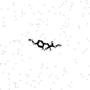 CC(C)(C)OC(=O)[C@](C)(N)Cc1ccc(OC(C)(C)C)cc1